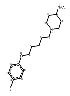 CC(=O)NC1CCN(CCCCCOc2ccc(F)cc2)CC1